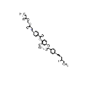 C=CC(=O)CC#Cc1ccc(C(=O)Oc2ccc(OC(=O)c3ccc(/C=C/C(=O)OCOC(=O)C=C)cc3)c(OC)c2)cc1